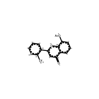 CC(=O)Oc1cccc2c(=O)cc(-c3cccnc3C(F)(F)F)oc12